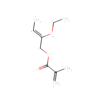 C=C(C)C(=O)OCC(=CC)OCC